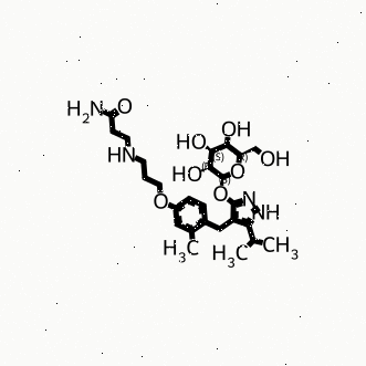 Cc1cc(OCCCNCCC(N)=O)ccc1Cc1c(O[C@@H]2O[C@H](CO)C(O)[C@H](O)[C@H]2O)n[nH]c1C(C)C